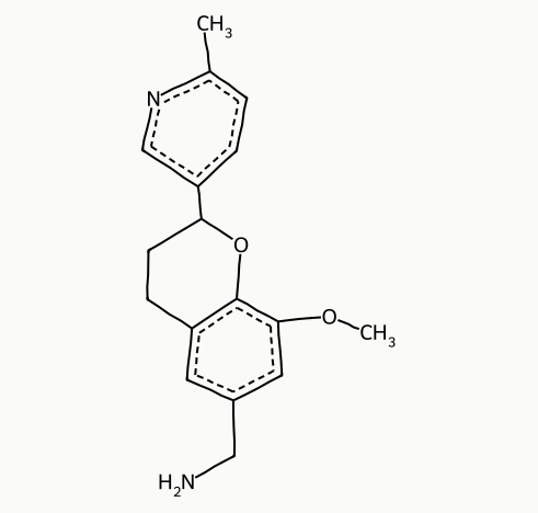 COc1cc(CN)cc2c1OC(c1ccc(C)nc1)CC2